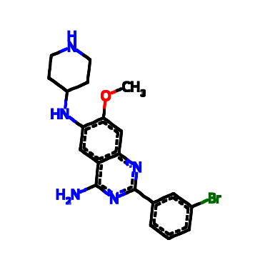 COc1cc2nc(-c3cccc(Br)c3)nc(N)c2cc1NC1CCNCC1